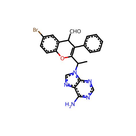 CC(C1=C(c2ccccc2)C(C=O)c2cc(Br)ccc2O1)n1cnc2c(N)ncnc21